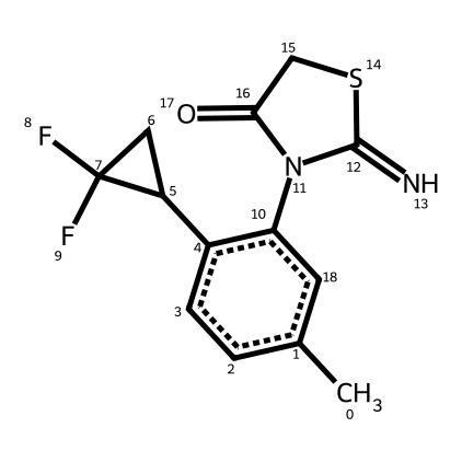 Cc1ccc(C2CC2(F)F)c(N2C(=N)SCC2=O)c1